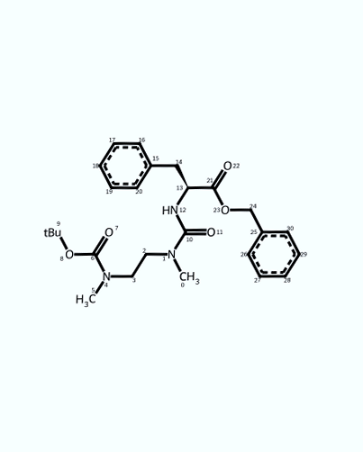 CN(CCN(C)C(=O)OC(C)(C)C)C(=O)N[C@@H](Cc1ccccc1)C(=O)OCc1ccccc1